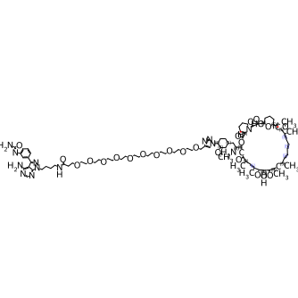 CO[C@H]1C[C@@H]2CCC[C@@](O)(O2)C(=O)C(=O)N2CCCC[C@H]2C(=O)O[C@H]([C@H](N)C[C@@H]2CC[C@H](n3cc(COCCOCCOCCOCCOCCOCCOCCOCCOCCOCCC(=O)NCCCCn4nc(-c5ccc6oc(N)nc6c5)c5c(N)ncnc54)nn3)[C@H](OC)C2)CC(=O)[C@H](C)/C=C(\C)C(O)[C@@H](O)C(=O)[C@H](C)C[C@H](C)/C=C/C=C/C=C/1C